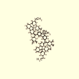 C=CC1=CCC(C2(C3C=CC(F)=CC3)C3C=CC=CC3C3C=CC(N(C4=CC=C(F)C(F)C4)c4ccc5c(c4)-c4cc(N(C6=CC(F)C(F)C=C6)C6=CC7C(C=C6)C6C=CC=CC6C7(C6=CCC(C=C)C=C6)C6CC=C(F)CC6)ccc4[Si]5(C)C)=CC32)C=C1